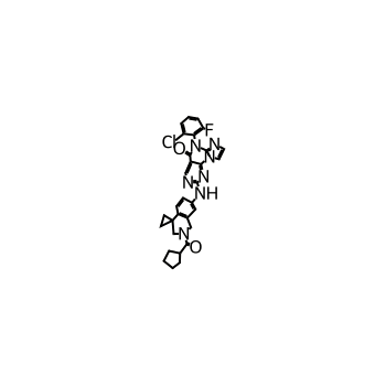 O=C(C1CCCC1)N1Cc2cc(Nc3ncc4c(=O)n(-c5c(F)cccc5Cl)c5nccn5c4n3)ccc2C2(CC2)C1